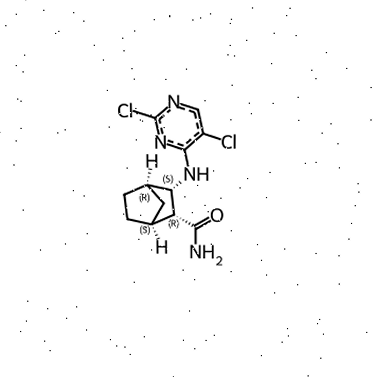 NC(=O)[C@@H]1[C@H]2CC[C@H](C2)[C@@H]1Nc1nc(Cl)ncc1Cl